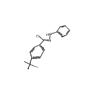 CC(C)(C)c1ccc(C(Cl)=NNc2ccccc2)cc1